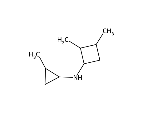 CC1CC1NC1CC(C)C1C